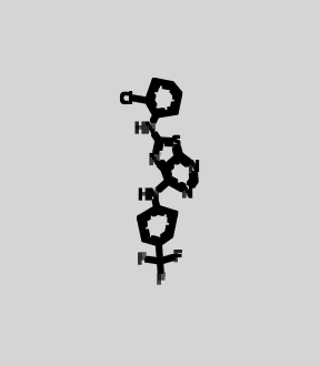 FC(F)(F)c1ccc(Nc2ncnc3sc(Nc4ccccc4Cl)nc23)cc1